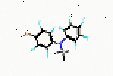 C[Si](C)(C)N(c1c(F)c(F)c(F)c(F)c1F)c1c(F)c(F)c(Br)c(F)c1F